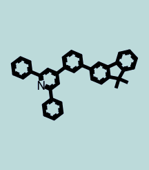 CC1(C)c2ccccc2-c2cc(-c3cccc(-c4cc(-c5ccccc5)nc(-c5ccccc5)c4)c3)ccc21